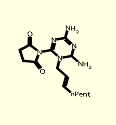 CCCCCC=CCN1C(N2C(=O)CCC2=O)=NC(N)=NC1N